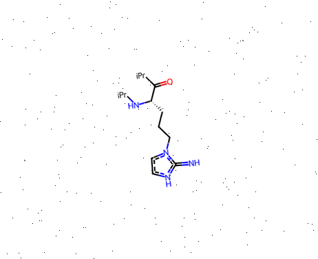 CC(C)N[C@@H](CCCn1cc[nH]c1=N)C(=O)C(C)C